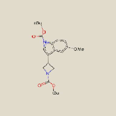 CCCCOC(=O)n1cc(C2CN(C(=O)OC(C)(C)C)C2)c2cc(OC)ccc21